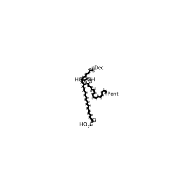 CCCCC/C=C\C/C=C\C/C=C\C/C=C\CCCC(=O)OC(CO)C(O)(CCCCCCCCCCCCCC=CC=CC1=C(C(=O)O)O1)CCCCCCCCCCCCCCCC